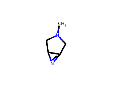 CN1CC2=NC2C1